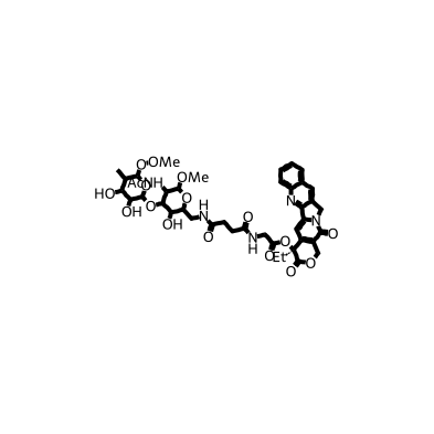 CC[C@@]1(OC(=O)CNC(=O)CCC(=O)NCC2OC(OC)C(NC(C)=O)C(OC3OC(OOC)C(C)C(O)C3O)C2O)C(=O)OCc2c1cc1n(c2=O)Cc2cc3ccccc3nc2-1